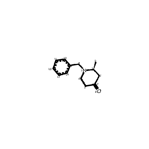 C[C@H]1CC(=O)CCN1Cc1ccccc1